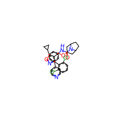 O=C(Nc1cccc(-c2ccncc2)c1)N1C2CCC1CC(OCc1c(-c3c(Cl)cccc3Cl)noc1C1CC1)C2